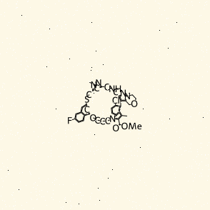 COC(=O)c1c(C)c2c3c(Cl)ccc2n1CCCOc1cc(cc2cc(F)ccc12)SCc1cc(nn1C)CNCc1nn2c(c1-3)COCC2